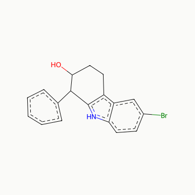 OC1CCc2c([nH]c3ccc(Br)cc23)C1c1ccccc1